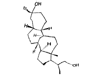 CC[C@@]1(O)CC[C@H]2[C@H](CC[C@@H]3[C@@H]2CC[C@]2(C)[C@@H]([C@H](C)CO)CC[C@@H]32)C1